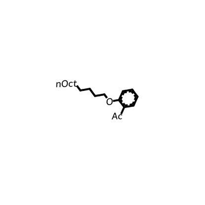 CCCCCCCCCCCCOc1ccccc1C(C)=O